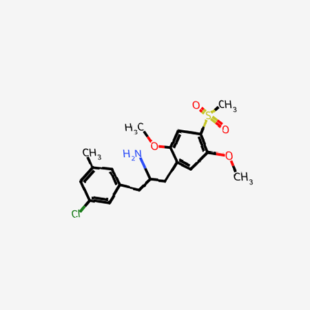 COc1cc(S(C)(=O)=O)c(OC)cc1CC(N)Cc1cc(C)cc(Cl)c1